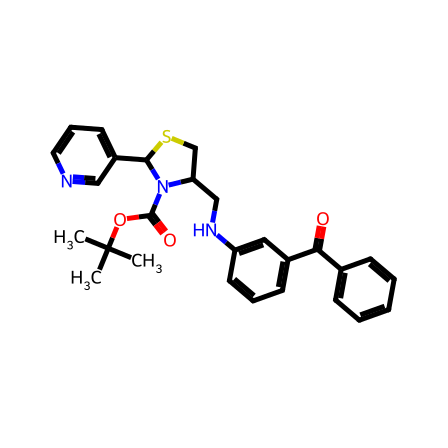 CC(C)(C)OC(=O)N1C(CNc2cccc(C(=O)c3ccccc3)c2)CSC1c1cccnc1